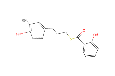 CC(C)(C)c1cc(CCCSC(=O)c2ccccc2O)ccc1O